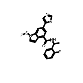 CC(NC(=O)c1cc(-c2cncs2)cc2c1ccn2SF)c1ccccc1F